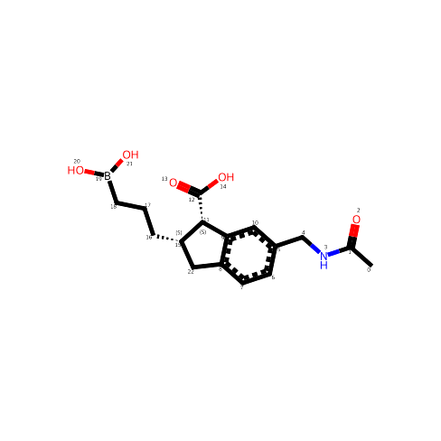 CC(=O)NCc1ccc2c(c1)[C@@H](C(=O)O)[C@@H](CCCB(O)O)C2